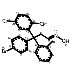 Cc1ccccc1C(CC=NO)(c1ccc(Br)cc1)c1cc(Cl)ccc1Cl